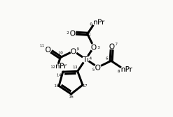 CCCC(=O)[O][Ti]([O]C(=O)CCC)([O]C(=O)CCC)[C]1=CC=CC1